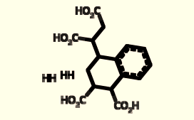 O=C(O)CC(C(=O)O)C1CC(C(=O)O)C(C(=O)O)c2ccccc21.[HH].[HH]